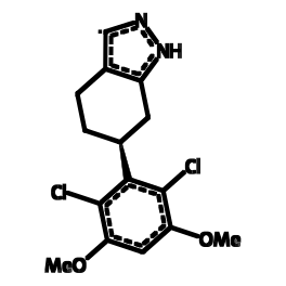 COc1cc(OC)c(Cl)c([C@H]2CCc3[c]n[nH]c3C2)c1Cl